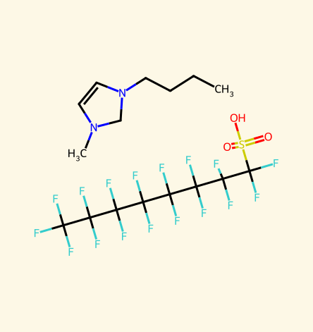 CCCCN1C=CN(C)C1.O=S(=O)(O)C(F)(F)C(F)(F)C(F)(F)C(F)(F)C(F)(F)C(F)(F)C(F)(F)C(F)(F)F